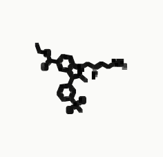 CCOC(=O)c1ccc2c(c1)c(-c1cccc(S(C)(=O)=O)c1)c(C)n2C/C(F)=C/CN